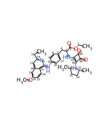 CCOC(=O)C(Cc1ccc(Nc2nc(CC)cc3cc(OC)ccc23)cc1)Nc1c(N2C(C)CCC2C)c(=O)c1=O